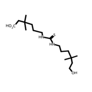 CC(C)(CCO)CCCNC(=S)NCCCC(C)(C)CC(=O)O